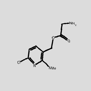 CNc1nc(Cl)ccc1COC(=O)CN